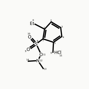 CCc1cccc(C)c1S(=O)(=O)ON(C)C.Cl